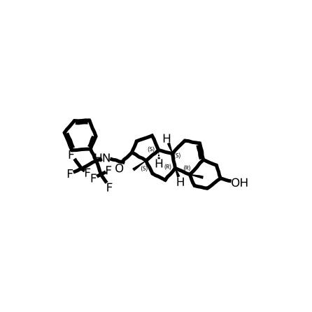 C[C@]12CCC(O)CC1=CC[C@@H]1[C@H]2CC[C@]2(C)C(C(=O)NC(c3ccccc3)(C(F)(F)F)C(F)(F)F)CC[C@@H]12